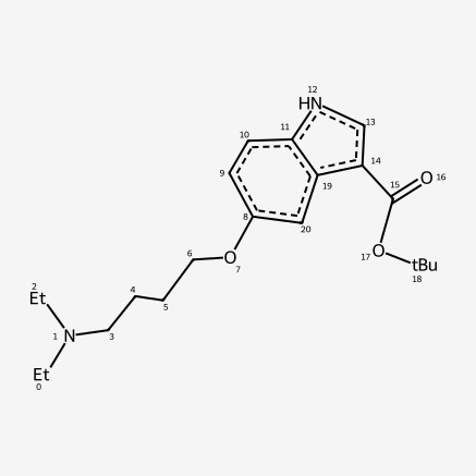 CCN(CC)CCCCOc1ccc2[nH]cc(C(=O)OC(C)(C)C)c2c1